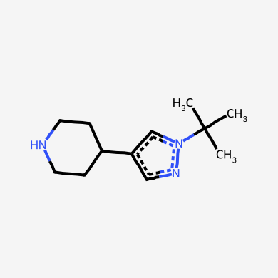 CC(C)(C)n1cc(C2CCNCC2)cn1